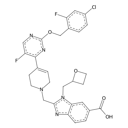 O=C(O)c1ccc2nc(CN3CC=C(c4nc(OCc5ccc(Cl)cc5F)ncc4F)CC3)n(CC3CCO3)c2c1